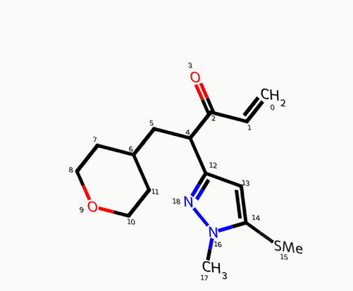 C=CC(=O)C(CC1CCOCC1)c1cc(SC)n(C)n1